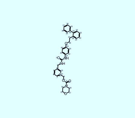 O=C(NCc1ccc[n+](COC(=O)N2CCOCC2)c1)Nc1ccc(OCCc2ccccc2-c2ccccc2)cc1